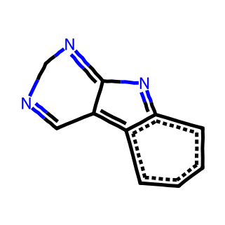 C1=NCN=C2N=c3ccccc3=C12